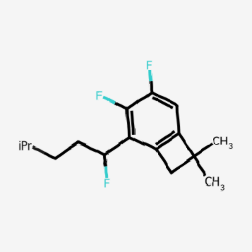 CC(C)CCC(F)c1c(F)c(F)cc2c1CC2(C)C